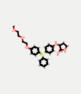 COCCOCCOc1ccc([S+](c2ccccc2)c2ccc(OC3CCOC3=O)cc2)cc1